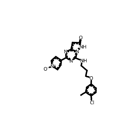 Cc1cc(OCCCNc2nc(-c3cc[n+]([O-])cc3)nc3cc(=O)[nH]n23)ccc1Cl